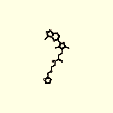 Cc1nn(-c2ccc3nnc(C)n3n2)c(C)c1CCC(=O)NCCSCc1ccco1